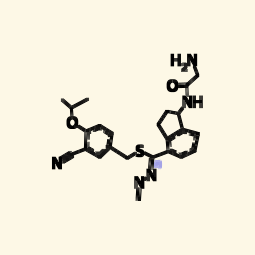 C=N/N=C(\SCc1ccc(OC(C)C)c(C#N)c1)c1cccc2c1CCC2NC(=O)CN